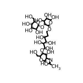 CC1=NC2[C@@H](O1)OC(CO)[C@@H](O[C@H](O)C(O)[C@@H](O)[C@H](O)CCO[C@H]1OC(O)[C@@H](O)C(O)[C@H]1O[C@H]1OC(CO)[C@@H](O)[C@H](O)C1O)[C@@H]2O